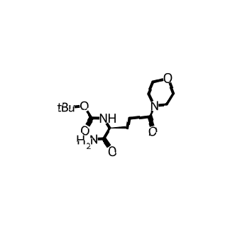 CC(C)(C)OC(=O)N[C@@H](CCC(=O)N1CCOCC1)C(N)=O